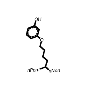 CCCCCCCCCC(CCCCC)CCCCOc1cccc(O)c1